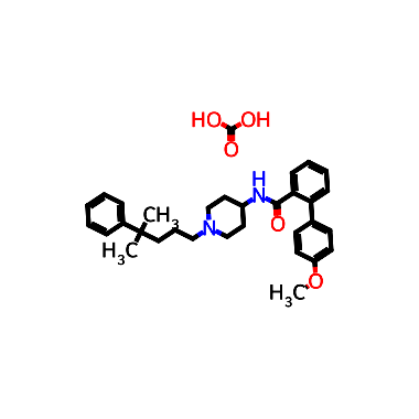 COc1ccc(-c2ccccc2C(=O)NC2CCN(CCCC(C)(C)c3ccccc3)CC2)cc1.O=C(O)O